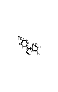 C=CC(c1ccc(C(C)C)cc1)N1C=C(C)C=CC1